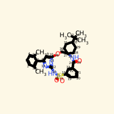 Cc1cccc(C)c1-c1cc2nc(n1)NS(=O)(=O)c1cccc(c1)C(=O)NC1(CCC(C(C)(C)C)CC1)CO2